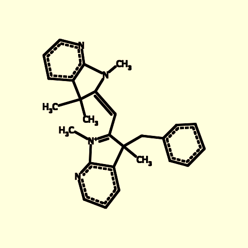 CN1C(=CC2=[N+](C)c3ncccc3C2(C)Cc2ccccc2)C(C)(C)c2cccnc21